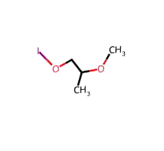 COC(C)COI